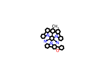 Cc1ccc(-c2c(-n3c4ccccc4c4ccccc43)c(C#N)c(-n3c4ccccc4c4cc5oc6ccccc6c5cc43)c(C#N)c2-n2c3ccccc3c3ccccc32)cc1